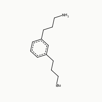 CCC(C)CCCc1cccc(CCCN)c1